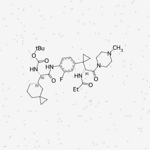 CCC(=O)N[C@@H](C(=O)N1CCN(C)CC1)C1(c2ccc(NC(=O)[C@@H](NC(=O)OC(C)(C)C)[C@H]3CCCC4(CC4)C3)c(F)c2)CC1